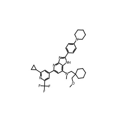 COCC1(CN(C)c2cc(-c3cc(C4CC4)nc(C(F)(F)F)c3)nc3nc(-c4ccc(N5CCCCC5)cc4)[nH]c23)CCCCC1